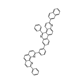 c1ccc(-c2ccc3ccc4ccc(-c5cccc(-c6ccc7c(c6)nc(-c6ccccc6)c6c8ccc(-c9ccc%10ccccc%10c9)nc8ccc76)c5)nc4c3n2)cc1